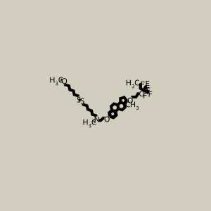 CCCC(OCCCOC1CCC2C3CCc4cc(OCCN(C)CCCCCCSSCCCCCCOC)ccc4C3CCC12C)(C(F)(F)F)C(F)(F)F